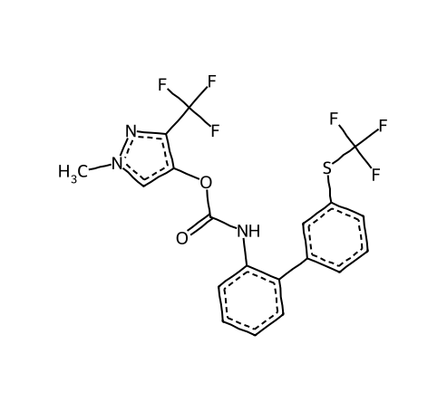 Cn1cc(OC(=O)Nc2ccccc2-c2cccc(SC(F)(F)F)c2)c(C(F)(F)F)n1